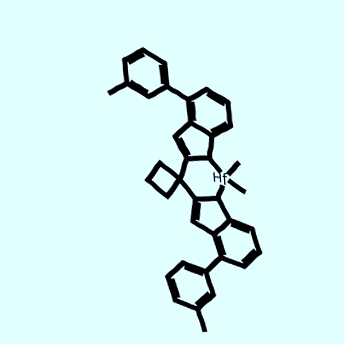 Cc1cccc(-c2cccc3c2C=C2[CH]3[Hf]([CH3])([CH3])[CH]3C(=Cc4c(-c5cccc(C)c5)cccc43)C23CCC3)c1